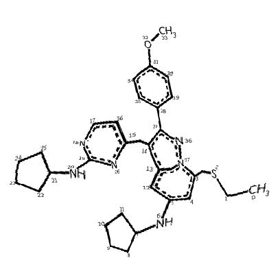 CCSc1cc(NC2CCCC2)cc2c(-c3ccnc(NC4CCCC4)n3)c(-c3ccc(OC)cc3)nn12